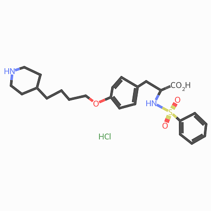 Cl.O=C(O)C(Cc1ccc(OCCCCC2CCNCC2)cc1)NS(=O)(=O)c1ccccc1